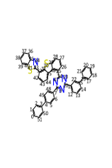 c1ccc(-c2ccc(-c3nc(-c4cccc(-c5ccccc5)c4)nc(-c4cccc5sc6c(-c7nc8ccccc8s7)cccc6c45)n3)cc2)cc1